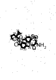 N[C@H]1CS(=O)(=O)c2ccc(-c3nnc(C4(C5CC5)CCCO4)o3)cc2N(Cc2ccc(Cl)cc2)C1=O